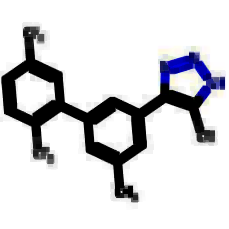 Cc1cc(-c2cc(C(F)(F)F)ccc2C(F)(F)F)cc(-c2nn[nH]c2C#N)c1